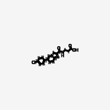 O=C(O)CCNC(=O)c1cn2cc(-c3ccc(Cl)cc3)ccc2n1